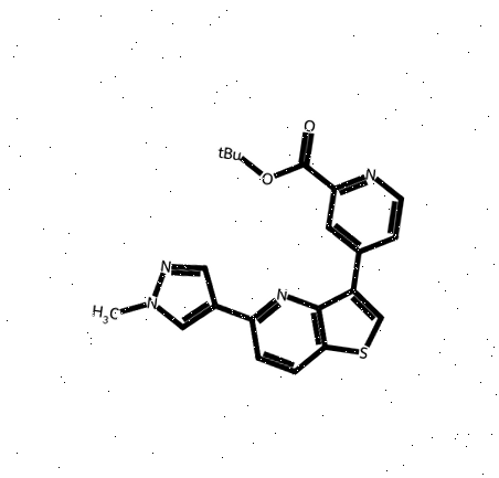 Cn1cc(-c2ccc3scc(-c4ccnc(C(=O)OC(C)(C)C)c4)c3n2)cn1